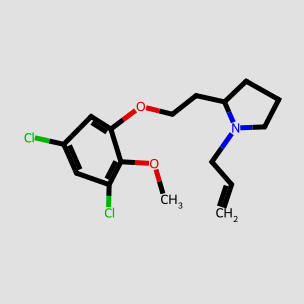 C=CCN1CCCC1CCOc1cc(Cl)cc(Cl)c1OC